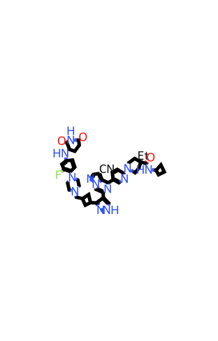 CCC1(C(=O)NC2CCC2)CCN(c2ccc(-c3nc(-c4c[nH]nc4C4CC(CN5CCN(c6ccc(N[C@H]7CCC(=O)NC7=O)cc6F)CC5)C4)cn4ncc(C#N)c34)cn2)CC1